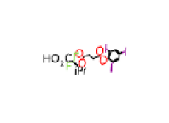 CC(C)C(OC(=O)CCC(=O)Oc1c(I)cc(I)cc1I)C(F)(F)C(=O)O